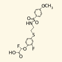 COc1ccc(S(=O)(=O)NCCSc2ccc(OC(F)C(=O)O)c(F)c2)cc1